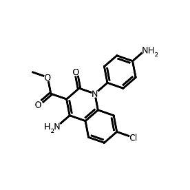 COC(=O)c1c(N)c2ccc(Cl)cc2n(-c2ccc(N)cc2)c1=O